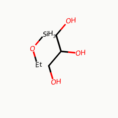 CCO[SiH3].OCC(O)CO